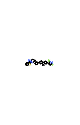 CC1(c2cccc(-c3ccc4c(c3)C(C)(C)c3cc(-c5ccc(F)nc5F)ccc3-4)c2)C=Cc2nc3c4ccccc4sc3n2C1